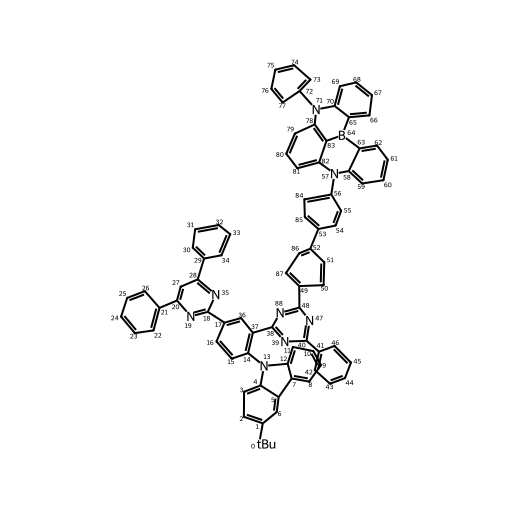 CC(C)(C)c1ccc2c(c1)c1ccccc1n2-c1ccc(-c2nc(-c3ccccc3)cc(-c3ccccc3)n2)cc1-c1nc(-c2ccccc2)nc(-c2ccc(-c3ccc(N4c5ccccc5B5c6ccccc6N(c6ccccc6)c6cccc4c65)cc3)cc2)n1